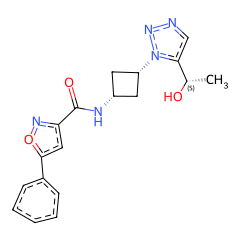 C[C@H](O)c1cnnn1[C@H]1C[C@@H](NC(=O)c2cc(-c3ccccc3)on2)C1